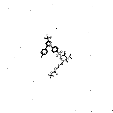 Cc1ccc(-c2cc(C(F)(F)F)nn2-c2ccc(S(=O)(=O)NC(=O)[C@H](C(C)C)N(C)[N+]([O-])=NOCOC(=O)OC(C)(C)C)cc2)cc1